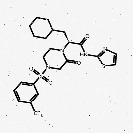 O=C(Nc1nccs1)[C@H](CC1CCCCC1)N1CCN(S(=O)(=O)c2cccc(C(F)(F)F)c2)CC1=O